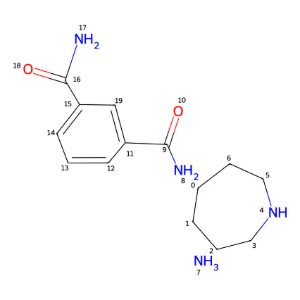 C1CCCNCC1.N.NC(=O)c1cccc(C(N)=O)c1